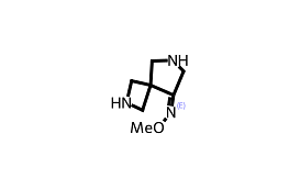 CO/N=C1/CNCC12CNC2